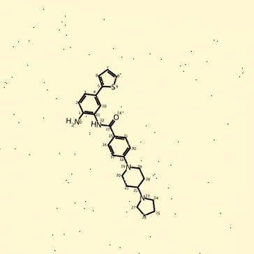 Nc1ccc(-c2cccs2)cc1NC(=O)c1ccc(N2CCC(N3CCCC3)CC2)cc1